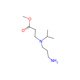 COC(=O)CCN(CCCN)C(C)C